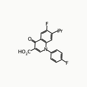 CC(C)c1cc2c(cc1F)c(=O)c(C(=O)O)cn2-c1ccc(F)cc1